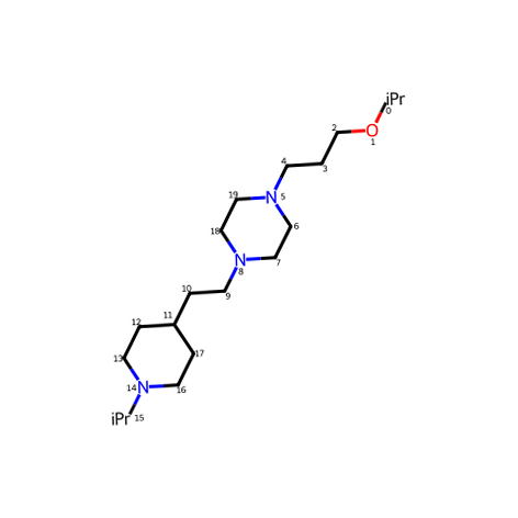 CC(C)OCCCN1CCN(CCC2CCN(C(C)C)CC2)CC1